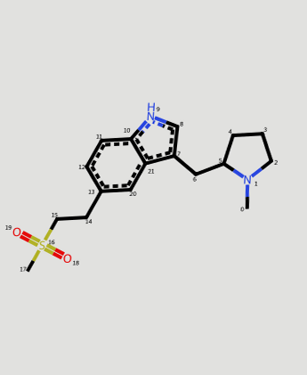 CN1CCCC1Cc1c[nH]c2ccc(CCS(C)(=O)=O)cc12